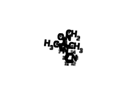 C=NC(=O)c1c(C)cn(-c2cccnc2)c1C